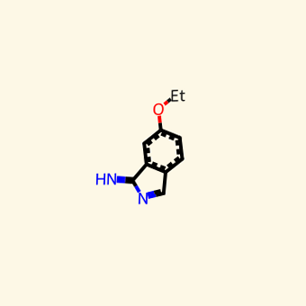 CCOc1ccc2c(c1)C(=N)N=C2